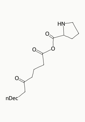 CCCCCCCCCCCC(=O)CCCC(=O)OC(=O)C1CCCN1